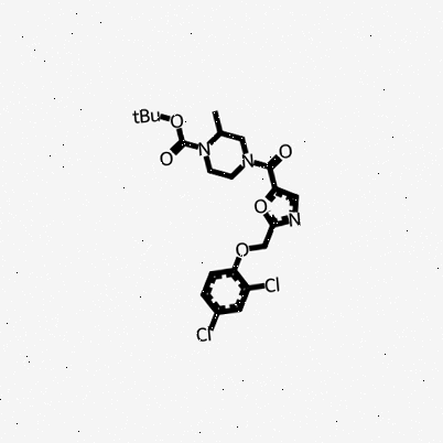 CC1CN(C(=O)c2cnc(COc3ccc(Cl)cc3Cl)o2)CCN1C(=O)OC(C)(C)C